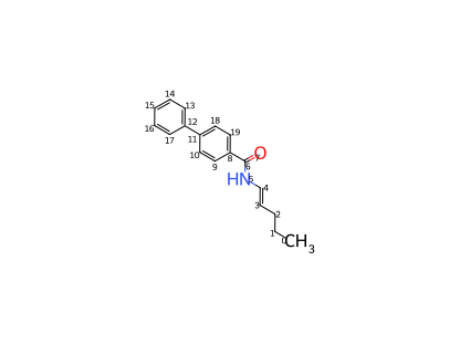 CCCC=CNC(=O)c1ccc(-c2ccccc2)cc1